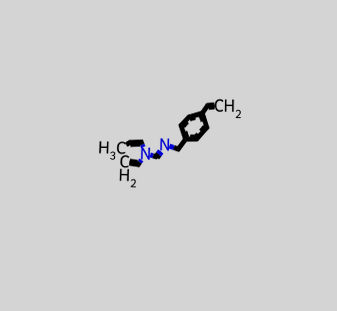 C=Cc1ccc(C/N=C/N(C=C)/C=C\C)cc1